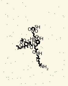 CC[C@H](C)CC(=O)N(C)C(C[C@@H](OC(C)=O)c1nc(C(=O)N[C@@H](Cc2ccc(O)c(NC(=O)CCCN3C(=O)CC(S)C3=O)c2)CC(C)C(=O)NCCC(C)(C)OCCC(C)(C)N)cs1)C(C)C